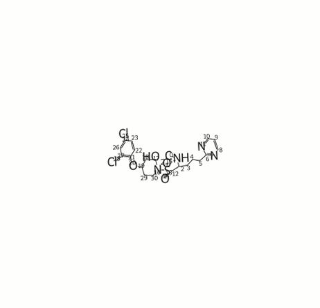 O=C(O)NC(CCCc1ncccn1)CS(=O)(=O)N1CCC(Oc2ccc(Cl)cc2Cl)CC1